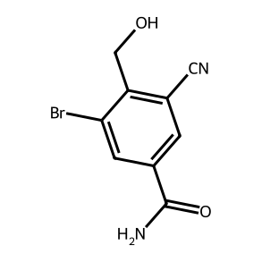 N#Cc1cc(C(N)=O)cc(Br)c1CO